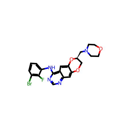 Fc1c(Br)cccc1Nc1ncnc2cc3c(cc12)O[C@@H](CN1CCOCC1)CO3